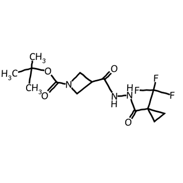 CC(C)(C)OC(=O)N1CC(C(=O)NNC(=O)C2(C(F)(F)F)CC2)C1